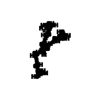 CCC(=O)NC(CCCOC(=O)NCCCCCCNC(=O)CCCOC1OC(CO)CC(O)C1N)(CCCOC(=O)NCCCCCCNC(=O)CCCOC1OC(CO)C(O)C(O)C1N)CCCOC(=O)NCCCCCCNC(=O)CCCOC1OC(CO)C(O)C(O)C1N